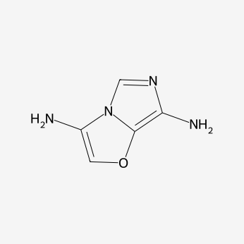 Nc1ncn2c(N)coc12